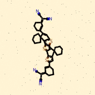 N#CC(C#N)=C1C=C(C2=Cc3sc4c5c(sc4c3C23CCCCC3)-c2sc(C3=CC(=C(C#N)C#N)CCC3)cc2C52CCCCC2)CCC1